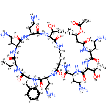 CCC(C)C(=O)OC(C)CC(=O)N[C@@H](CCN)C(=O)N[C@H](C(=O)N[C@@H](CCN)C(=O)N[C@H]1CCNC(=O)[C@H]([C@H](C)O)NC(=O)[C@H](CCN)NC(=O)[C@H](CCN)NC(=O)[C@H](CC(C)C)NC(=O)[C@@H](Cc2ccccc2)NC(=O)[C@H](CCN)NC1=O)C(C)O